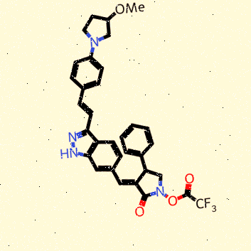 COC1CCN(c2ccc(/C=C/c3n[nH]c4cc(/C=C5/C(=O)N(OC(=O)C(F)(F)F)CC5c5ccccc5)ccc34)cc2)C1